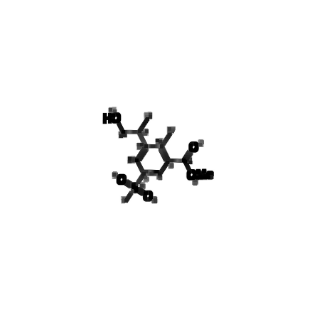 COC(=O)c1cc(S(C)(=O)=O)cc(C(C)CO)c1C